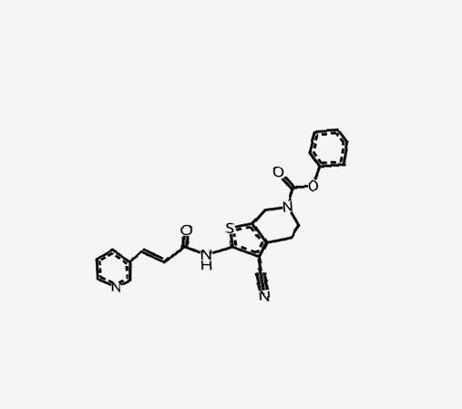 N#Cc1c(NC(=O)C=Cc2cccnc2)sc2c1CCN(C(=O)Oc1ccccc1)C2